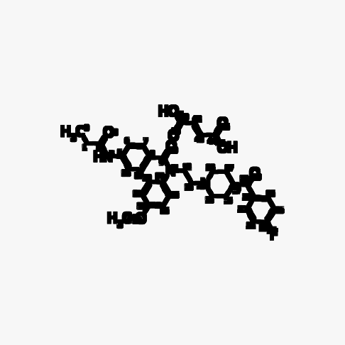 CCC(=O)Nc1ccc(C(=O)N(CCN2CCC(C(=O)c3ccc(F)cc3)CC2)c2ccc(OC)cc2)cc1.O=C(O)/C=C/C(=O)O